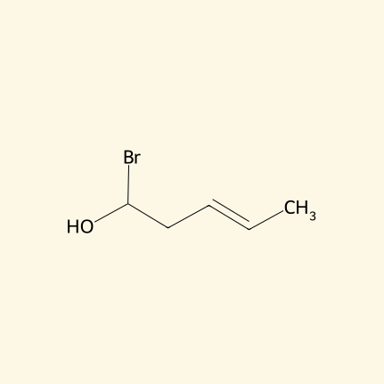 CC=CCC(O)Br